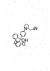 COc1ccccc1C(O)(c1ccc(N2CCCC2CC#N)cc1)c1ccccc1OC